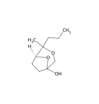 CCCC1(C)OCC2(O)CC[C@@H]1O2